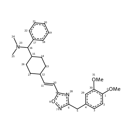 COc1ccc(Cc2noc(/C=C/C3CCC(C(c4ccccc4)N(C)C)CC3)n2)cc1OC